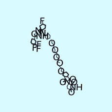 O=C1CCC(N2C(=O)c3ccc(OCCOCCOCCOCCOC[C@H]4CC[C@@H](n5c(NC(=O)c6cccc(C(F)(F)F)c6)nc6cc(F)ccc65)CC4)cc3C2=O)C(=O)N1